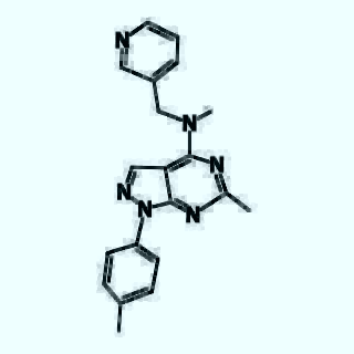 Cc1ccc(-n2ncc3c(N(C)Cc4cccnc4)nc(C)nc32)cc1